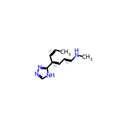 C\C=C/C(=C\C=C\NC)c1nnc[nH]1